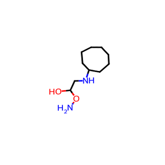 NOC(O)CNC1CCCCCCC1